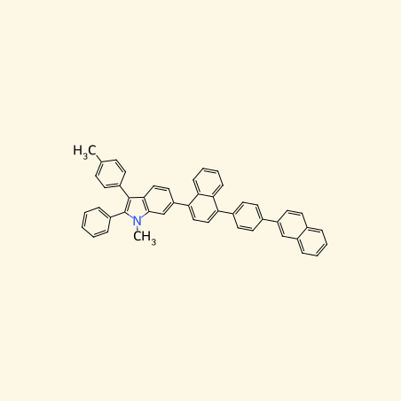 Cc1ccc(-c2c(-c3ccccc3)n(C)c3cc(-c4ccc(-c5ccc(-c6ccc7ccccc7c6)cc5)c5ccccc45)ccc23)cc1